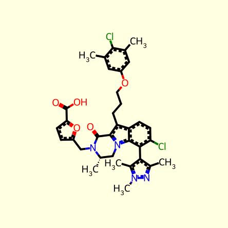 Cc1cc(OCCCc2c3n(c4c(-c5c(C)nn(C)c5C)c(Cl)ccc24)C[C@H](C)N(Cc2ccc(C(=O)O)o2)C3=O)cc(C)c1Cl